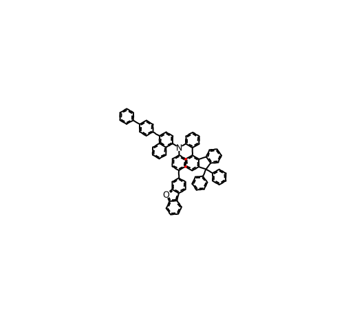 c1ccc(-c2ccc(-c3ccc(N(c4ccc(-c5ccc6c(c5)oc5ccccc56)cc4)c4ccccc4-c4cccc5c4-c4ccccc4C5(c4ccccc4)c4ccccc4)c4ccccc34)cc2)cc1